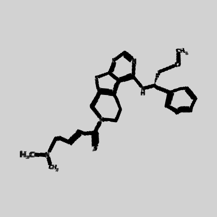 COC[C@@H](Nc1ncnc2sc3c(c12)CCN(C(=S)/C=C/CN(C)C)C3)c1ccccc1